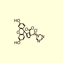 O=C1OC2(c3ccc(O)cc3Oc3cc(O)ccc32)c2cccc(N(Cl)N3C=NC=NC3)c21